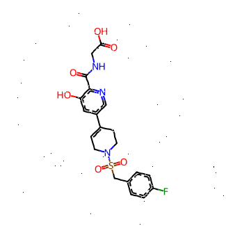 O=C(O)CNC(=O)c1ncc(C2=CCN(S(=O)(=O)Cc3ccc(F)cc3)CC2)cc1O